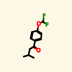 CC(C)CC(=O)c1ccc(OC(F)F)cc1